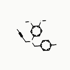 CC#CCN(Cc1ccc(F)cc1)c1ccc(NC(=O)OCC)c(NC(=O)OCC)c1